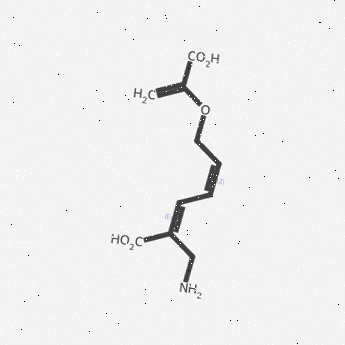 C=C(OC/C=C\C=C(/CN)C(=O)O)C(=O)O